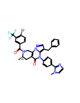 C[C@@H]1Cc2c(n3ncc(Cc4ccccc4)c3n(-c3ccc(-c4nccn4C)cc3)c2=O)CN1C(=O)c1ccc(Br)c(C(F)(F)F)c1